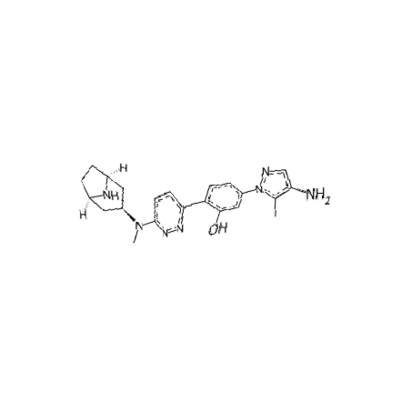 Cc1c(N)cnn1-c1ccc(-c2ccc(N(C)[C@H]3C[C@H]4CC[C@@H](C3)N4)nn2)c(O)c1